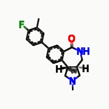 Cc1cc(-c2ccc3c(c2)C(=O)NC[C@H]2CN(C)C[C@H]32)ccc1F